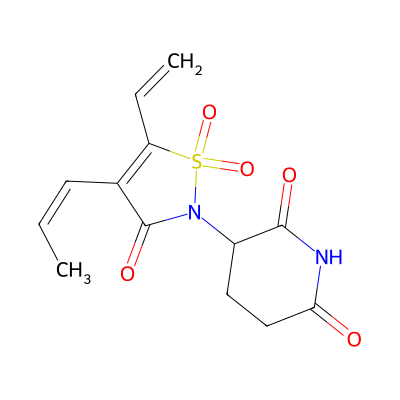 C=CC1=C(/C=C\C)C(=O)N(C2CCC(=O)NC2=O)S1(=O)=O